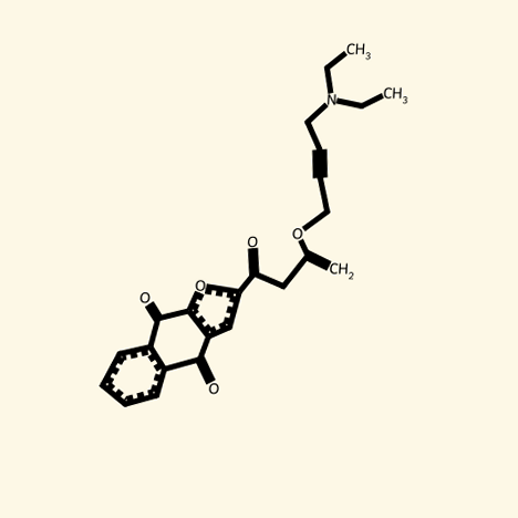 C=C(CC(=O)c1cc2c(o1)C(=O)c1ccccc1C2=O)OCC#CCN(CC)CC